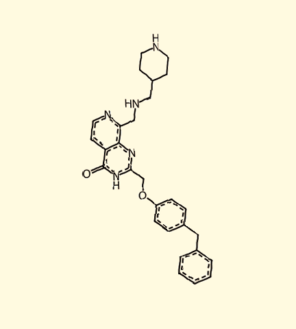 O=c1[nH]c(COc2ccc(Cc3ccccc3)cc2)nc2c(CNCC3CCNCC3)nccc12